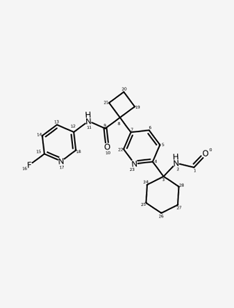 O=CNC1(c2ccc(C3(C(=O)Nc4ccc(F)nc4)CCC3)cn2)CCCCC1